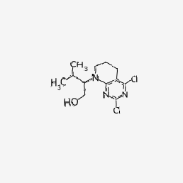 CC(C)C(CO)N1CCCc2c(Cl)nc(Cl)nc21